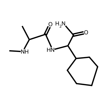 CNC(C)C(=O)NC(C(N)=O)C1CCCCC1